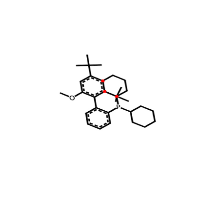 COc1cc(C(C)(C)C)cc(C(C)(C)C)c1-c1ccccc1P(C1CCCCC1)C1CCCCC1